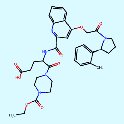 CCOC(=O)N1CCN(C(=O)C(CCC(=O)O)NC(=O)c2cc(OCC(=O)N3CCC[C@H]3c3ccccc3C)c3ccccc3n2)CC1